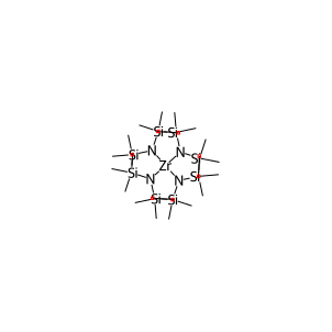 C[Si](C)(C)[N]([Si](C)(C)C)[Zr]([N]([Si](C)(C)C)[Si](C)(C)C)([N]([Si](C)(C)C)[Si](C)(C)C)[N]([Si](C)(C)C)[Si](C)(C)C